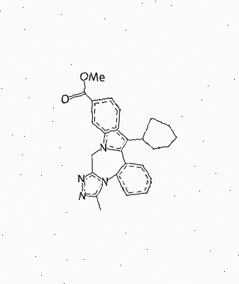 COC(=O)c1ccc2c(C3CCCCC3)c3n(c2c1)Cc1nnc(C)n1-c1ccccc1-3